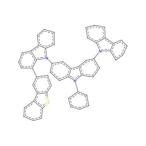 c1ccc(-n2c3ccc(-n4c5ccccc5c5ccccc54)cc3c3cc(-n4c5ccccc5c5cccc(-c6ccc7sc8ccccc8c7c6)c54)ccc32)cc1